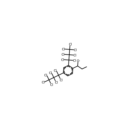 CCC([O])c1ccc(C(Cl)(Cl)C(Cl)(Cl)C(Cl)(Cl)Cl)cc1C(Cl)(Cl)C(Cl)(Cl)C(Cl)(Cl)Cl